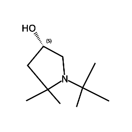 CC(C)(C)N1C[C@@H](O)CC1(C)C